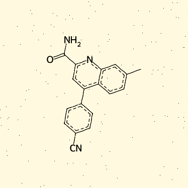 Cc1ccc2c(-c3ccc(C#N)cc3)cc(C(N)=O)nc2c1